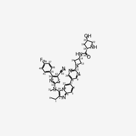 CCc1nc2ccc(-c3cnc(N4CC(NC(=O)[C@H]5C[C@@H](O)CN5)C4)nc3)cn2c1N(C)c1nc(-c2ccc(F)cc2)c(C#N)s1